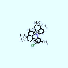 Cc1cc(Cl)cc(N(c2cccc3c2C(C)(C)CCC3(C)C)c2cccc3c2C(C)(C)CCC3(C)C)c1